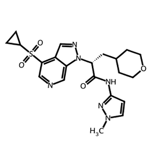 Cn1ccc(NC(=O)[C@@H](CC2CCOCC2)n2ncc3c(S(=O)(=O)C4CC4)cncc32)n1